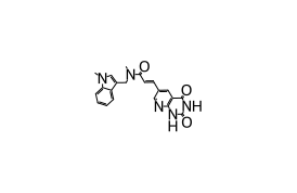 CN(Cc1cn(C)c2ccccc12)C(=O)/C=C/c1cnc2[nH]c(=O)[nH]c(=O)c2c1